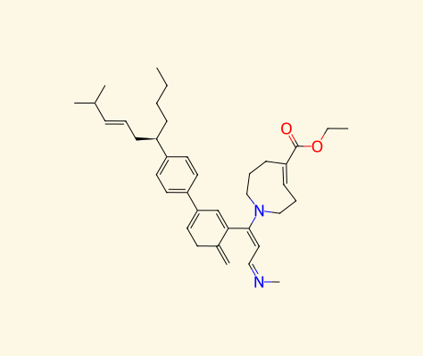 C=C1CC=C(c2ccc([C@@H](C/C=C/C(C)C)CCCC)cc2)C=C1/C(=C\C=N/C)N1CC/C=C(\C(=O)OCC)CCC1